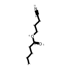 [CH2]CCCC(=O)OCCCC#N